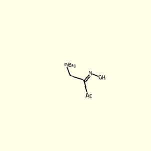 CCCCC/C(=N/O)C(C)=O